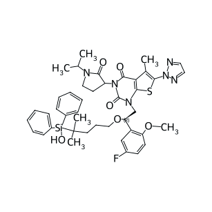 COc1ccc(F)cc1[C@H](Cn1c(=O)n(C2CCN(C(C)C)C2=O)c(=O)c2c(C)c(-n3nccn3)sc21)OCCCC(C)(C)[Si](O)(c1ccccc1)c1ccccc1